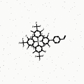 C=Cc1ccc(-c2c(F)c(F)c([B-](c3c(F)c(C)c(C(F)(F)F)c(F)c3F)(c3c(F)c(C)c(C(F)(F)F)c(F)c3F)c3c(F)c(F)c(C(F)(F)F)c(F)c3F)c(F)c2F)cc1